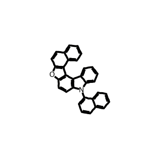 c1ccc2c(-n3c4ccccc4c4c5c(ccc43)oc3ccc4ccccc4c35)cccc2c1